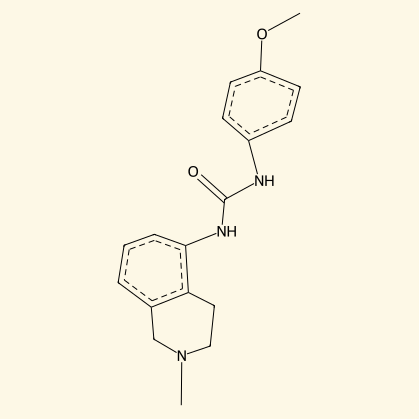 COc1ccc(NC(=O)Nc2cccc3c2CCN(C)C3)cc1